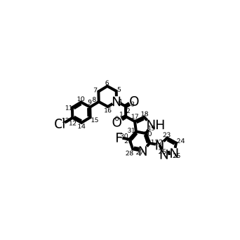 O=C(C(=O)N1CCCC(c2ccc(Cl)cc2)C1)c1c[nH]c2c(-n3ccnn3)ncc(F)c12